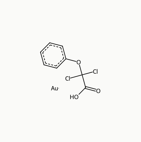 O=C(O)C(Cl)(Cl)Oc1ccccc1.[Au]